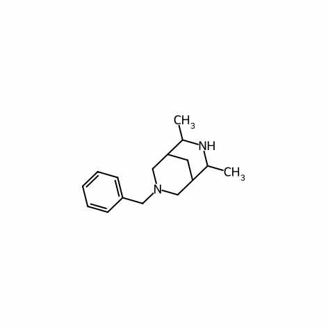 CC1NC(C)C2CC1CN(Cc1ccccc1)C2